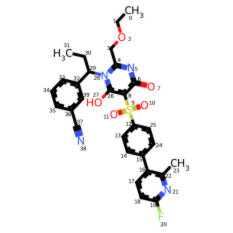 CCOCc1nc(=O)c(S(=O)(=O)c2ccc(-c3ccc(F)nc3C)cc2)c(O)n1C(CC)c1cccc(C#N)c1